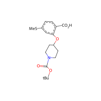 CSc1ccc(C(=O)O)c(OC2CCN(C(=O)OC(C)(C)C)CC2)c1